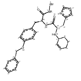 CC(C)(C)NC(=O)[C@H](Cc1ccc(OCc2ccccc2)cc1)NC(=O)[C@H](Cc1cscn1)NC1C=CCCC1